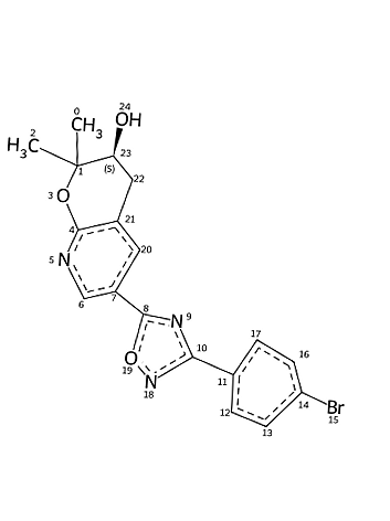 CC1(C)Oc2ncc(-c3nc(-c4ccc(Br)cc4)no3)cc2C[C@@H]1O